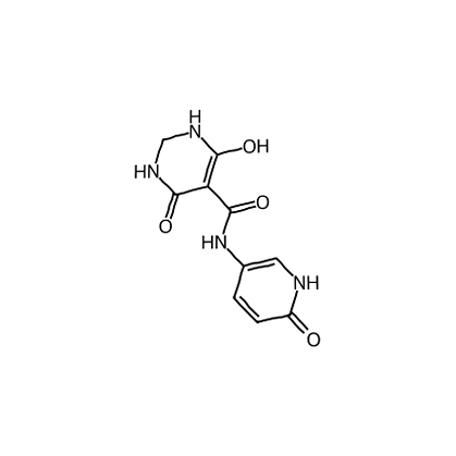 O=C1NCNC(O)=C1C(=O)Nc1ccc(=O)[nH]c1